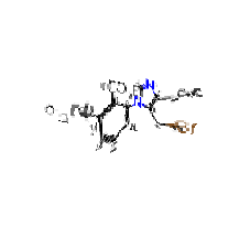 CCOC(=O)c1c(-n2cnc(C(C)=O)c2CBr)cccc1[N+](=O)[O-]